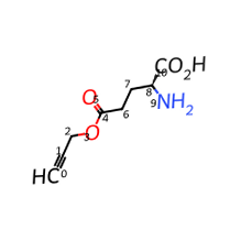 C#CCOC(=O)CC[C@H](N)C(=O)O